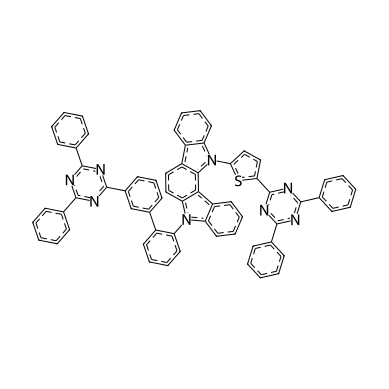 c1ccc(-c2nc(-c3ccccc3)nc(-c3cccc(-c4ccccc4-n4c5ccccc5c5c4ccc4c6ccccc6n(-c6ccc(-c7nc(-c8ccccc8)nc(-c8ccccc8)n7)s6)c45)c3)n2)cc1